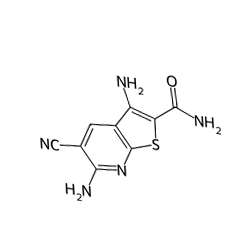 N#Cc1cc2c(N)c(C(N)=O)sc2nc1N